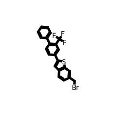 FC(F)(F)c1cc(-c2cc3ccc(CBr)cc3s2)ccc1-c1ccccc1